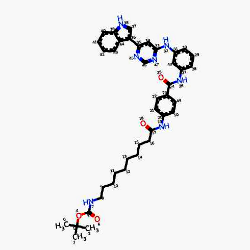 CC(C)(C)OC(=O)NCCCCCCCCCC(=O)Nc1ccc(C(=O)Nc2cccc(Nc3cc(-c4c[nH]c5ccccc45)ncn3)c2)cc1